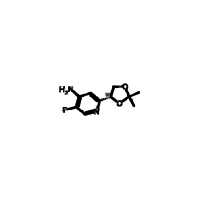 CC1(C)OC[C@@H](c2cc(N)c(F)cn2)O1